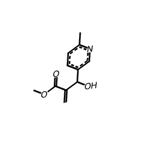 C=C(C(=O)OC)C(O)c1ccc(C)nc1